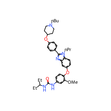 CCCCN1CCC(Oc2ccc(-c3nc4cc(Oc5ccc(NC(=O)NC(CC)CC)cc5OC)ccc4n3CCC)cc2)CC1